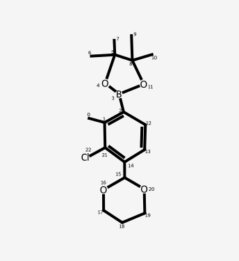 Cc1c(B2OC(C)(C)C(C)(C)O2)ccc(C2OCCCO2)c1Cl